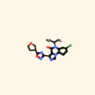 CC(C)n1c(=O)c2c(-c3noc(C4CCOC4)n3)ncn2c2ccc(Cl)cc21